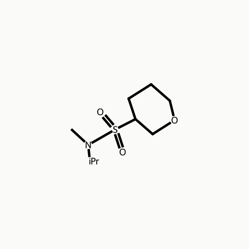 CC(C)N(C)S(=O)(=O)C1CCCOC1